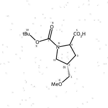 COC[C@H]1CC(C(=O)O)N(C(=O)OC(C)(C)C)C1